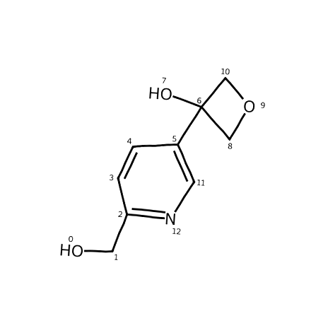 OCc1ccc(C2(O)COC2)cn1